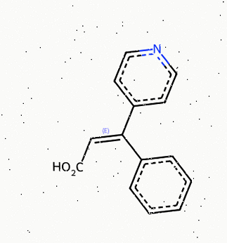 O=C(O)/C=C(\c1ccccc1)c1ccncc1